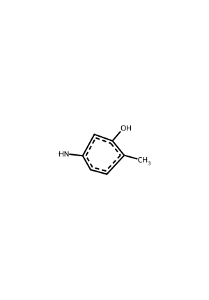 Cc1ccc([NH])cc1O